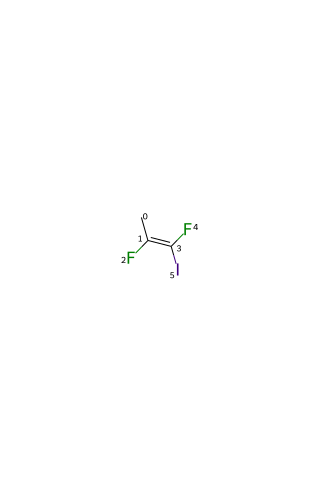 C/C(F)=C(\F)I